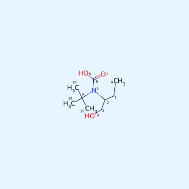 CCC(CO)N(C(=O)O)C(C)(C)C